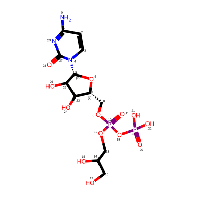 Nc1ccn([C@@H]2O[C@H](COP(=O)(OCC(O)CO)OP(=O)(O)O)C(O)C2O)c(=O)n1